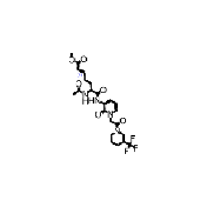 COC(=O)/C=C/CCC(NC(C)=O)C(=O)Nc1cccn(CC(=O)N2CCCC(C(F)(F)F)C2)c1=O